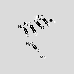 C=O.C=O.C=O.C=O.C=O.N.[Mo]